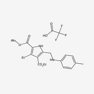 CCOC(=O)c1c(CNc2ccc(C)cc2)[nH]c(C(=O)OC(C)(C)C)c1CC.O=C(O)C(F)(F)F